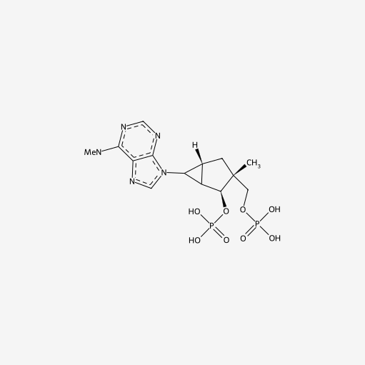 CNc1ncnc2c1ncn2C1C2[C@H]1C[C@](C)(COP(=O)(O)O)[C@H]2OP(=O)(O)O